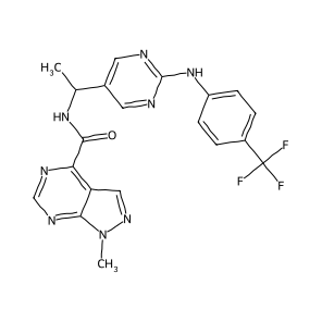 CC(NC(=O)c1ncnc2c1cnn2C)c1cnc(Nc2ccc(C(F)(F)F)cc2)nc1